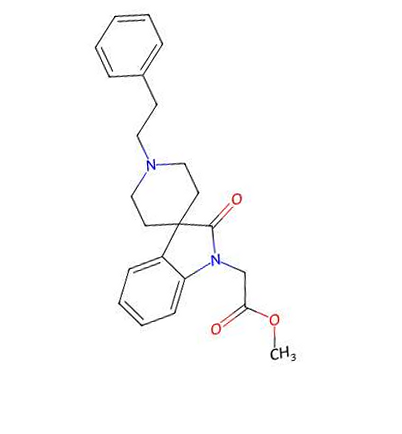 COC(=O)CN1C(=O)C2(CCN(CCc3ccccc3)CC2)c2ccccc21